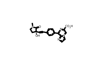 CN1CC[C@@](O)(C#Cc2ccc(-c3nc(C(=O)O)cn4ccnc34)cc2)C1=O